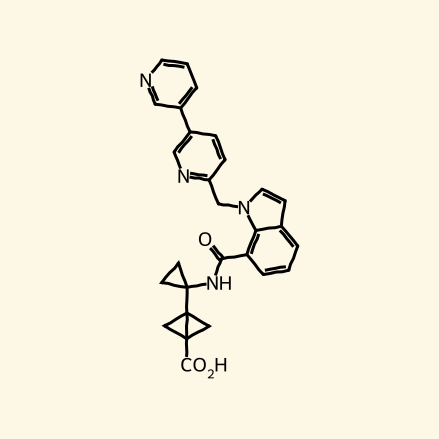 O=C(NC1(C23CC2(C(=O)O)C3)CC1)c1cccc2ccn(Cc3ccc(-c4cccnc4)cn3)c12